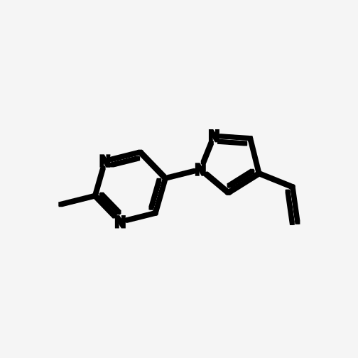 C=Cc1cnn(-c2cnc(C)nc2)c1